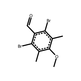 COc1c(C)c(Br)c(C=O)c(Br)c1C